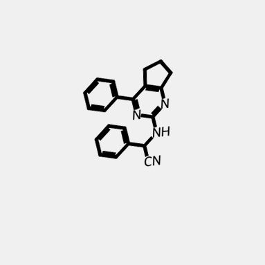 N#CC(Nc1nc2c(c(-c3ccccc3)n1)CCC2)c1ccccc1